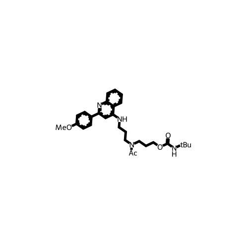 COc1ccc(-c2cc(NCCCN(CCCOC(=O)NC(C)(C)C)C(C)=O)c3ccccc3n2)cc1